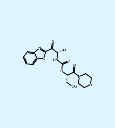 CC[C@H](NC(=O)O[C@@H](CC(C)(C)C)C(=O)N1CCOCC1)C(=O)c1nc2ccccc2o1